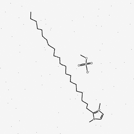 CCCCCCCCCCCCCCCCCCCCCCc1n(C)cc[n+]1C.COS(=O)(=O)[O-]